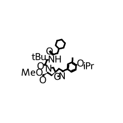 COC(=O)[C@@H]1C[C@]2(CC(c3ccc(OC(C)C)c(C)c3)=NO2)CN1C(=O)[C@@H](NC(=O)CC1CCCCC1)C(C)(C)C